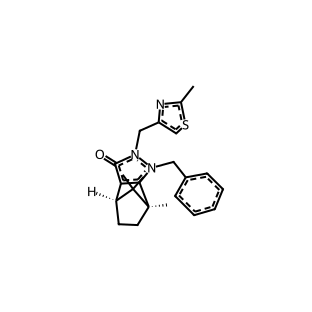 Cc1nc(Cn2c(=O)c3c(n2Cc2ccccc2)[C@@]2(C)CC[C@@H]3C2(C)C)cs1